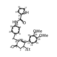 CCC1CC(=O)N(Cc2ccc(NC(=O)c3ccc[nH]3)cc2)N=C1c1ccc(OC)c(OC)c1